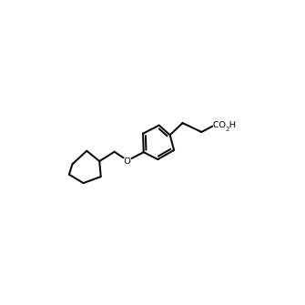 O=C(O)CCc1ccc(OCC2CCCCC2)cc1